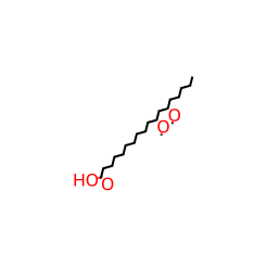 CCCCCC(CC(CCCCCCCCCC(=O)O)OC)OC